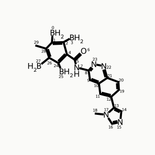 Bc1c(B)c(C(=O)Nc2cc3cc(-c4cncn4C)ccc3nn2)c(B)c(B)c1C